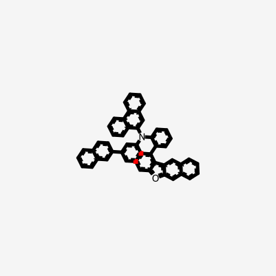 c1cc(-c2ccc3ccccc3c2)cc(N(c2ccccc2-c2cccc3oc4cc5ccccc5cc4c23)c2cc3ccccc3c3ccccc23)c1